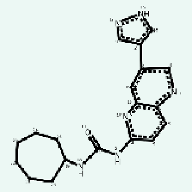 O=C(Nc1ccc2ncc(-c3cn[nH]c3)cc2n1)NC1CCCCCC1